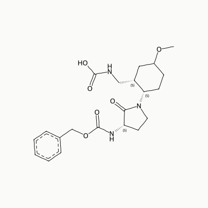 COC1CC[C@H](N2CC[C@H](NC(=O)OCc3ccccc3)C2=O)[C@H](CNC(=O)O)C1